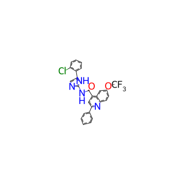 O=C(Nc1ncc(-c2ccccc2Cl)[nH]1)c1cc(-c2ccccc2)nc2ccc(OC(F)(F)F)cc12